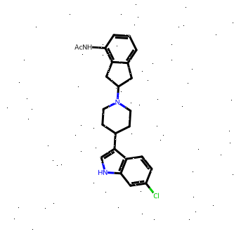 CC(=O)Nc1cccc2c1CC(N1CCC(c3c[nH]c4cc(Cl)ccc34)CC1)C2